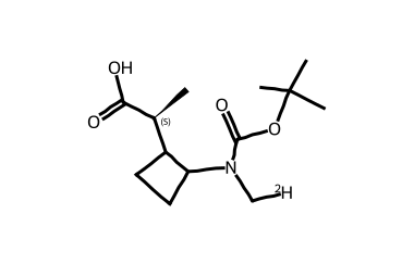 [2H]CN(C(=O)OC(C)(C)C)C1CCC1[C@H](C)C(=O)O